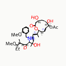 CC[C@H](OC)[C@@H](C)[C@H]1O[C@@H]1C(NCc1ccccc1OC)C(C)(O)/C=C/C=C(\C)C1OC(=O)C[C@H](O)CC[C@@](C)(O)[C@@H](OC(C)=O)/C=C/[C@@H]1C